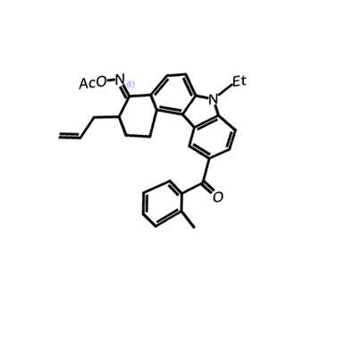 C=CCC1CCc2c(ccc3c2c2cc(C(=O)c4ccccc4C)ccc2n3CC)/C1=N/OC(C)=O